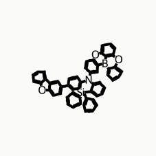 c1ccc([Si]2(c3ccccc3)c3ccccc3N(c3ccc4c(c3)B3c5ccccc5Oc5cccc(c53)O4)c3ccc(-c4ccc5oc6ccccc6c5c4)cc32)cc1